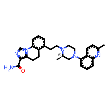 Cc1ccc2c(N3CCN(CCc4cccc5c4CCc4c(C(N)=O)ncn4-5)[C@H](C)C3)cccc2n1